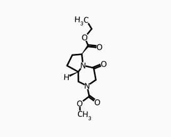 CCOC(=O)[C@@H]1CC[C@H]2CN(C(=O)OC)CC(=O)N21